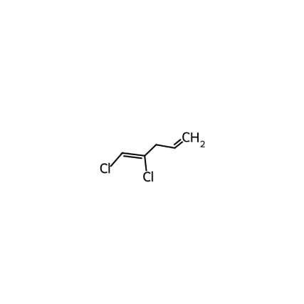 C=CCC(Cl)=CCl